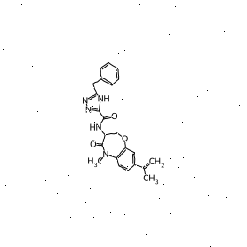 C=C(C)c1ccc2c(c1)OCC(NC(=O)c1nnc(Cc3ccccc3)[nH]1)C(=O)N2C